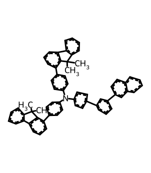 CC1(C)c2ccccc2-c2cccc(-c3ccc(N(c4ccc(-c5cccc(-c6ccc7ccccc7c6)c5)cc4)c4ccc(-c5cccc6c5C(C)(C)c5ccccc5-6)cc4)cc3)c21